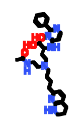 CC(=O)NCCN(CCCCc1ccc2c(n1)NCCC2)CC[C@H](Nc1ccnc(-c2ccccc2)n1)C(O)O